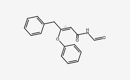 O=CNC(=O)/C=C(/Cc1ccccc1)Oc1ccccc1